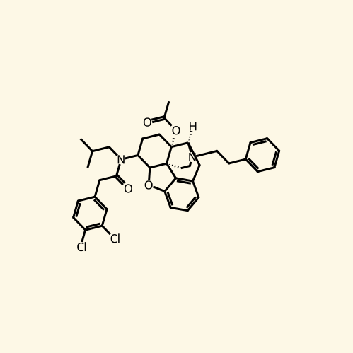 CC(=O)O[C@@]12CCC(N(CC(C)C)C(=O)Cc3ccc(Cl)c(Cl)c3)C3Oc4cccc5c4[C@@]31CCN(CCc1ccccc1)[C@@H]2C5